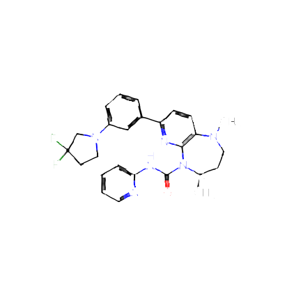 C[C@@H]1CCN(C)c2ccc(-c3cccc(N4CCC(F)(F)C4)c3)nc2N1C(=O)Nc1ccccn1